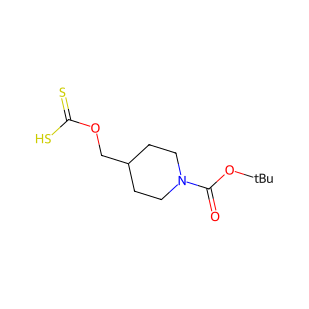 CC(C)(C)OC(=O)N1CCC(COC(=S)S)CC1